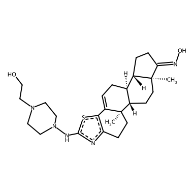 C[C@]12CCc3nc(NN4CCN(CCO)CC4)sc3C1=CC[C@@H]1[C@@H]2CC[C@]2(C)/C(=N/O)CC[C@@H]12